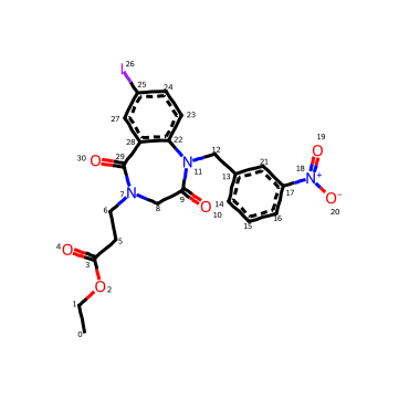 CCOC(=O)CCN1CC(=O)N(Cc2cccc([N+](=O)[O-])c2)c2ccc(I)cc2C1=O